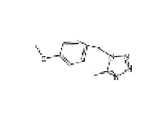 COc1ccc(Cn2nnnc2I)cc1